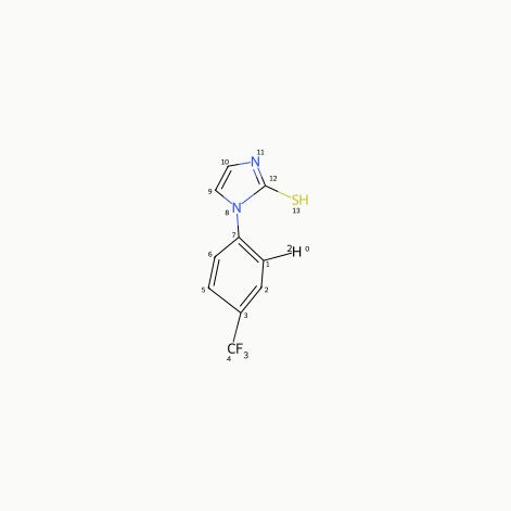 [2H]c1cc(C(F)(F)F)ccc1-n1ccnc1S